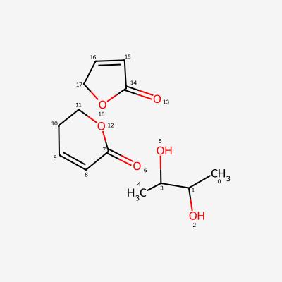 CC(O)C(C)O.O=C1C=CCCO1.O=C1C=CCO1